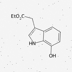 CCOC(=O)Cc1c[nH]c2c(O)cccc12